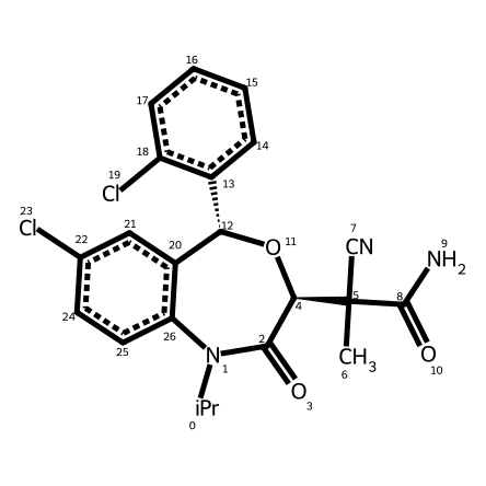 CC(C)N1C(=O)[C@H](C(C)(C#N)C(N)=O)O[C@@H](c2ccccc2Cl)c2cc(Cl)ccc21